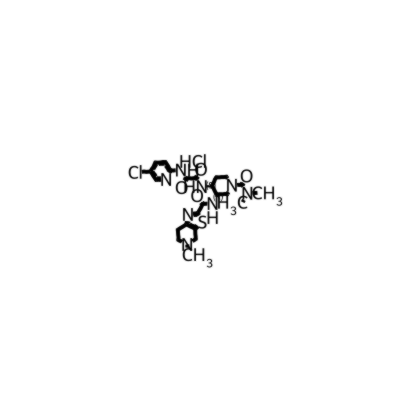 CN1CCc2nc(C(=O)N[C@@H]3CN(C(=O)N(C)C)CC[C@@H]3NC(=O)C(=O)Nc3ccc(Cl)cn3)sc2C1.Cl